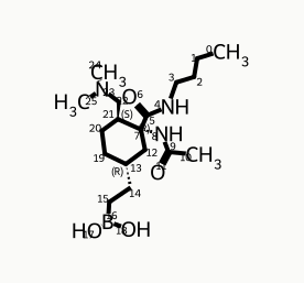 CCCCNC(=O)[C@@]1(NC(C)=O)C[C@H](CCB(O)O)CC[C@H]1CN(C)C